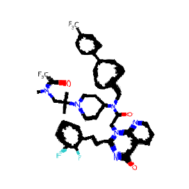 CN(CC(C)(C)N1CCC(N(Cc2ccc(-c3ccc(C(F)(F)F)cc3)cc2)C(=O)Cn2c(CCc3cccc(F)c3F)nc(=O)c3cccnc32)CC1)C(=O)C(F)(F)F